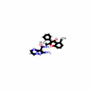 C#Cc1cccc2oc(C(C)NC(=O)c3c(N)nn4cccnc34)c(-c3ccccc3)c(=O)c12